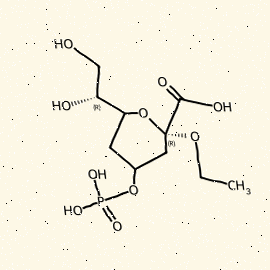 CCO[C@]1(C(=O)O)CC(OP(=O)(O)O)CC([C@H](O)CO)O1